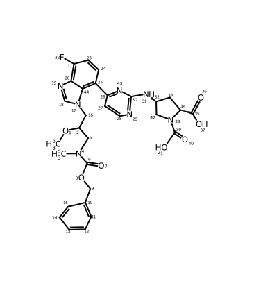 COC(CN(C)C(=O)OCc1ccccc1)Cn1cnc2c(F)ccc(-c3ccnc(N[C@H]4C[C@@H](C(=O)O)N(C(=O)O)C4)n3)c21